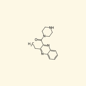 CCc1nc2ccccc2nc1C(=O)N1CCNCC1